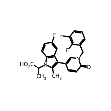 Cc1c(-c2ccc(=O)n(Cc3cccc(F)c3F)c2)c2cc(F)ccc2n1[C@@H](C)C(=O)O